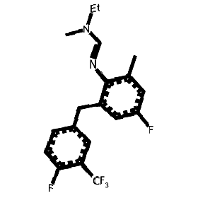 CCN(C)C=Nc1c(C)cc(F)cc1Cc1ccc(F)c(C(F)(F)F)c1